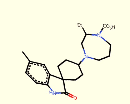 CCC1CN(C2CCC3(CC2)C(=O)Nc2ccc(C)cc23)CCCN1C(=O)O